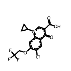 O=C(O)c1cn(C2CC2)c2cc(OCC(F)(F)F)c(Cl)cc2c1=O